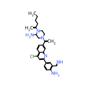 C=C(c1ccc2c(Cl)cc(-c3ccc(N)c(C=N)c3)nc2c1)N1CCN(C(=C)CCCC)C(N)C1